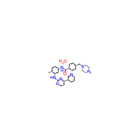 Cc1ccc(NC(=O)c2ccc(CN3CCN(C)CC3)cc2)cc1Nc1nccc(-c2cccnc2)n1.O